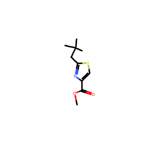 COC(=O)c1csc(CC(C)(C)C)n1